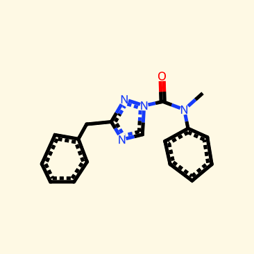 CN(C(=O)n1cnc(Cc2ccccc2)n1)c1ccccc1